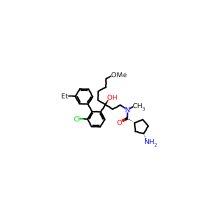 CCc1cccc(-c2c(Cl)cccc2C(O)(CCCCOC)CCN(C)C(=O)[C@@H]2CC[C@H](N)C2)c1